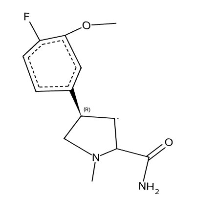 COc1cc([C@H]2[CH]C(C(N)=O)N(C)C2)ccc1F